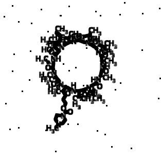 C/C=C/C[C@@H](C)[C@@H](O)[C@H]1C(=O)N[C@@H](CC)C(=O)N(C)[C@H](C)C(=O)N(C)[C@@H]([C@H](C)CCCOC(=O)N2CCN(C)CC2)C(=O)NC(C(C)C)C(=O)N(C)[C@@H](CC(C)C)C(=O)N[C@@H](C)C(=O)N[C@H](C)C(=O)N(C)[C@@H](CC(C)C)C(=O)N(C)[C@@H](CC(C)C)C(=O)N(C)C(C(C)C)C(=O)N1C